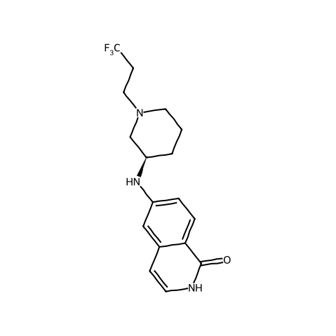 O=c1[nH]ccc2cc(N[C@@H]3CCCN(CCC(F)(F)F)C3)ccc12